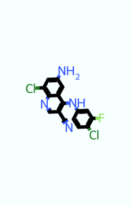 N#Cc1cnc2c(Cl)cc(N)cc2c1Nc1ccc(Cl)c(F)c1